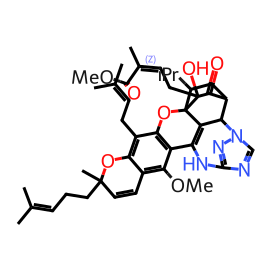 COC(=O)/C(C)=C\CC1(O)C(=O)C2CC(C(C)C)C13Oc1c(CC=C(C)C)c4c(c(OC)c1C1=C3C2n2cnc(n2)N1)C=CC(C)(CCC=C(C)C)O4